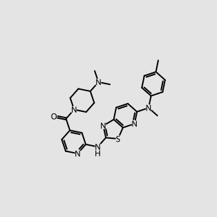 Cc1ccc(N(C)c2ccc3nc(Nc4cc(C(=O)N5CCC(N(C)C)CC5)ccn4)sc3n2)cc1